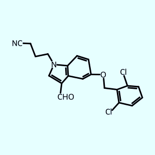 N#CCCCn1cc(C=O)c2cc(OCc3c(Cl)cccc3Cl)ccc21